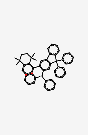 CC1(C)CCC(C)(C)c2c(-c3cc4c(cc3N(c3ccccc3)c3ccccc3)C(c3ccccc3)(c3ccccc3)c3ccccc3-4)cccc21